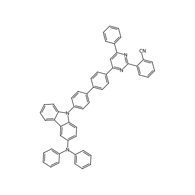 N#Cc1ccccc1-c1nc(-c2ccccc2)cc(-c2ccc(-c3ccc(-n4c5ccccc5c5cc(N(c6ccccc6)c6ccccc6)ccc54)cc3)cc2)n1